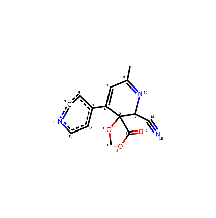 COC1(C(=O)O)C(c2ccncc2)=CC(C)=NC1C#N